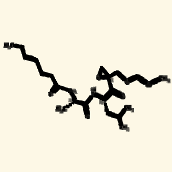 CCCCCCC(=O)N[C@@H](C)C(=O)N[C@@H](CC(C)C)C(=O)[C@@]1(COCOC)CO1